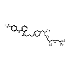 CCC(COCC(CC)CN1CCN(CCCN(C)c2ccccc2Sc2ccc(C(F)(F)F)cc2)CC1)COCC(CC)C(C)C